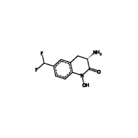 N[C@H]1Cc2cc(C(F)F)ccc2N(O)C1=O